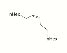 [CH2]CCCCCC/C=C\CCCCCCCC